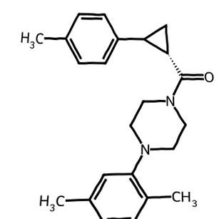 Cc1ccc(C2C[C@@H]2C(=O)N2CCN(c3cc(C)ccc3C)CC2)cc1